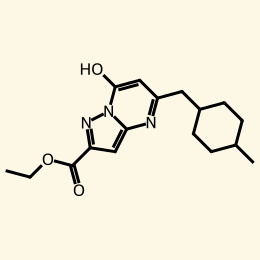 CCOC(=O)c1cc2nc(CC3CCC(C)CC3)cc(O)n2n1